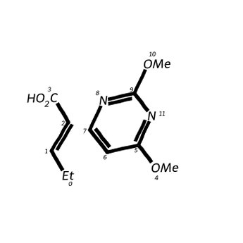 CC/C=C/C(=O)O.COc1ccnc(OC)n1